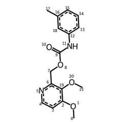 COc1ccnc(COC(=O)Nc2cccc(C)c2)c1OC